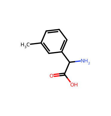 Cc1cccc(C(N)C(=O)O)c1